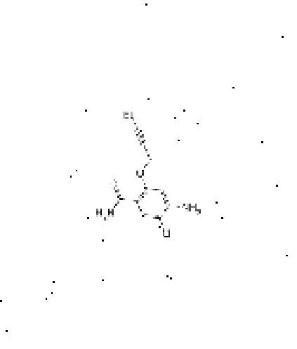 CCC#CCOc1cc(N)c(Cl)cc1C(N)=O